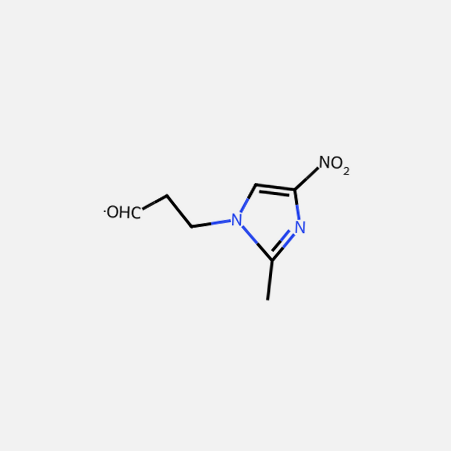 Cc1nc([N+](=O)[O-])cn1CC[C]=O